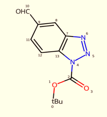 CC(C)(C)OC(=O)n1nnc2cc(C=O)ccc21